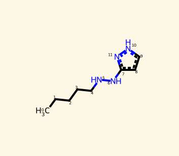 CCCCCNNc1cc[nH]n1